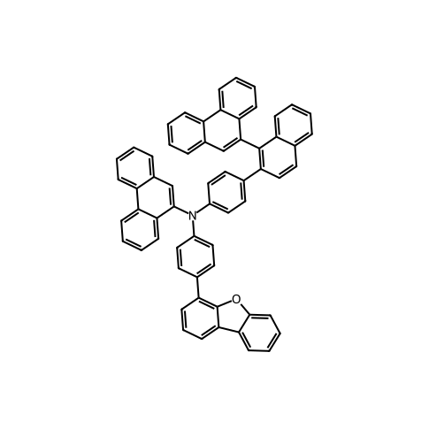 c1ccc2c(-c3cc4ccccc4c4ccccc34)c(-c3ccc(N(c4ccc(-c5cccc6c5oc5ccccc56)cc4)c4cc5ccccc5c5ccccc45)cc3)ccc2c1